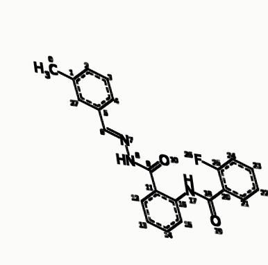 Cc1cccc(/C=N/NC(=O)c2ccccc2NC(=O)c2ccccc2F)c1